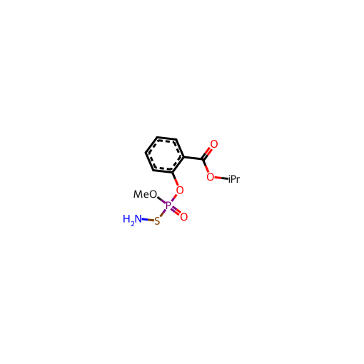 COP(=O)(Oc1ccccc1C(=O)OC(C)C)SN